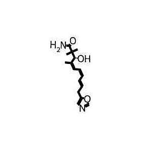 C/C(=C/C=C\C=C\Cc1cnco1)[C@@H](O)C(C)(C)C(N)=O